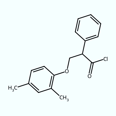 Cc1ccc(OCC(C(=O)Cl)c2ccccc2)c(C)c1